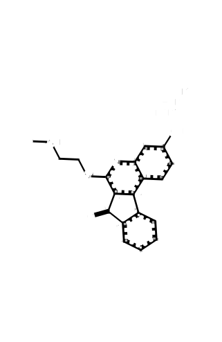 CNCCNc1nc2cc(O)ccc2c2c1C(=O)c1ccccc1-2.Cl.Cl.Cl